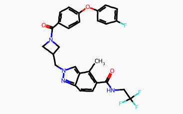 Cc1c(C(=O)NCC(F)(F)F)ccc2nn(CC3CN(C(=O)c4ccc(Oc5ccc(F)cc5)cc4)C3)cc12